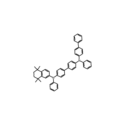 CC1(C)CCC(C)(C)c2cc(N(c3ccccc3)c3ccc(-c4ccc(N(c5ccccc5)c5ccc(-c6ccccc6)cc5)cc4)cc3)ccc21